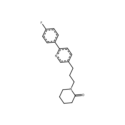 O=C1CCCCN1CCCc1ccc(-c2ccc(F)cc2)nc1